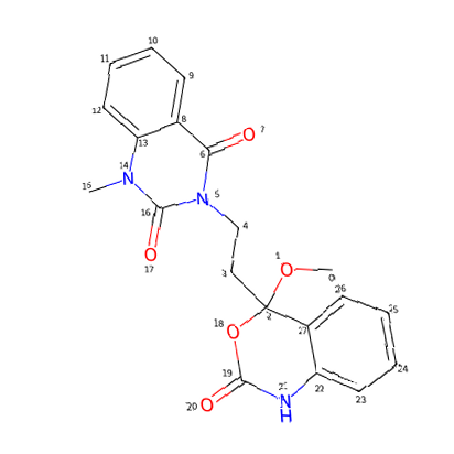 COC1(CCn2c(=O)c3ccccc3n(C)c2=O)OC(=O)Nc2ccccc21